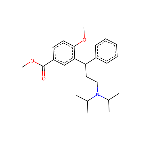 COC(=O)c1ccc(OC)c(C(CCN(C(C)C)C(C)C)c2ccccc2)c1